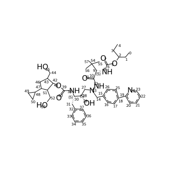 CCC(CC)OC(=O)N[C@H](C(=O)NN(Cc1ccc(-c2ccccn2)cc1)C[C@H](O)[C@H](Cc1ccccc1)NC(=O)OC1C(CO)CC(C2CC2)C1CO)C(C)(C)C